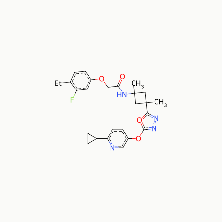 CCc1ccc(OCC(=O)NC2(C)CC(C)(c3nnc(Oc4ccc(C5CC5)nc4)o3)C2)cc1F